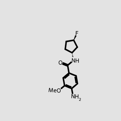 COc1cc(C(=O)N[C@@H]2CC[C@@H](F)C2)ccc1N